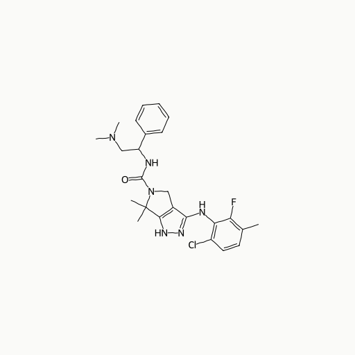 Cc1ccc(Cl)c(Nc2n[nH]c3c2CN(C(=O)NC(CN(C)C)c2ccccc2)C3(C)C)c1F